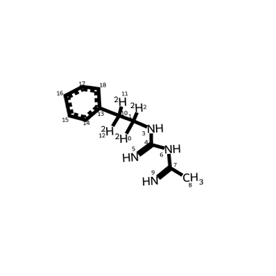 [2H]C([2H])(NC(=N)NC(C)=N)C([2H])([2H])c1ccccc1